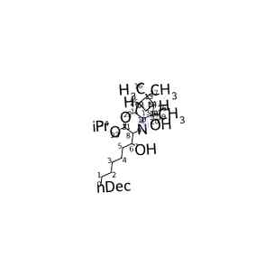 CCCCCCCCCCCCCCCC(O)C(/N=C1\C[C@@H]2C[C@@H](C2(C)C)[C@]1(C)O)C(=O)OC(C)C